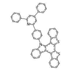 c1ccc(-c2cc(-c3ccccc3)nc(-c3ccc(-n4c5ccccc5c5c6c7ccccc7sc6c6sc7ccccc7c6c54)cc3)c2)cc1